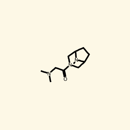 CN(C)CC(=O)N1CC2CCC(C1)N2C